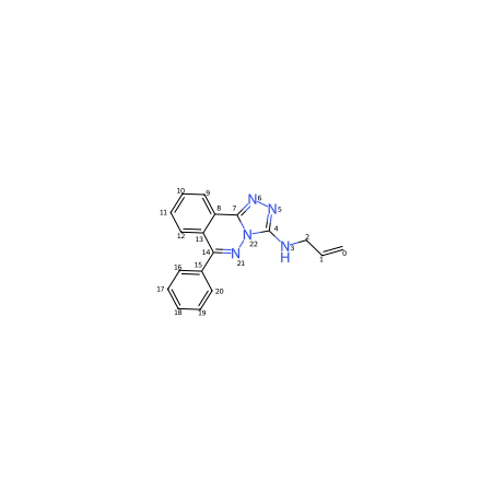 C=CCNc1nnc2c3ccccc3c(-c3ccccc3)nn12